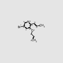 C=CCOc1cc(Br)cnc1C=CC